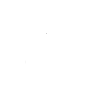 Fc1cn[c]c(I)c1